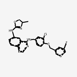 CC1COC(Nc2ccc3ncnc(Nc4ccc(OCc5cncc(F)c5)c(Cl)c4)c3c2)=N1